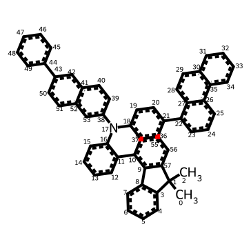 CC1(C)c2ccccc2-c2c(-c3ccccc3N(c3ccc(-c4cccc5c4ccc4ccccc45)cc3)c3ccc4cc(-c5ccccc5)ccc4c3)cccc21